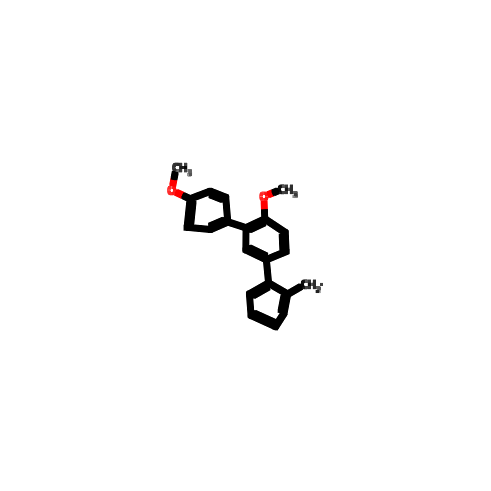 [CH2]c1ccccc1-c1ccc(OC)c(-c2ccc(OC)cc2)c1